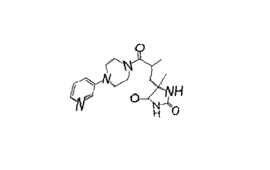 CC(CC1(C)NC(=O)NC1=O)C(=O)N1CCN(c2cccnc2)CC1